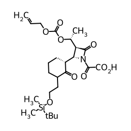 C=CCOC(=O)O[C@H](C)[C@H]1C(=O)N(C(=O)C(=O)O)[C@@H]1[C@H]1CCCC(CCO[Si](C)(C)C(C)(C)C)C1=O